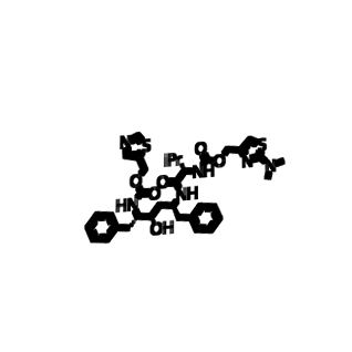 CC(C)[C@H](NC(=O)OCc1csc(N(C)C)n1)C(=O)N[C@@H](Cc1ccccc1)C[C@H](O)[C@H](Cc1ccccc1)NC(=O)OCc1cncs1